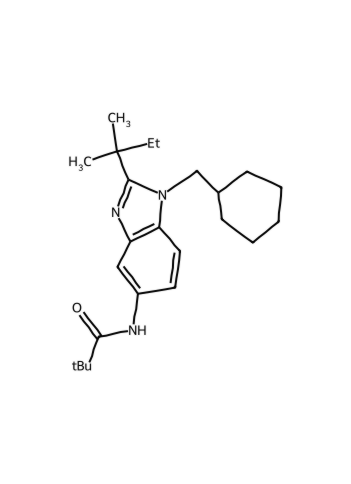 CCC(C)(C)c1nc2cc(NC(=O)C(C)(C)C)ccc2n1CC1CCCCC1